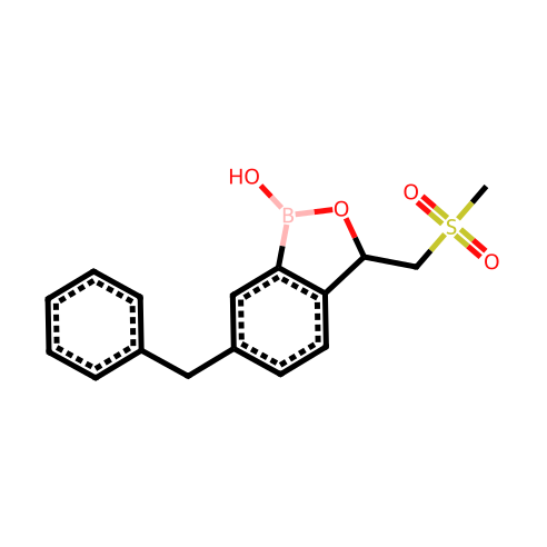 CS(=O)(=O)CC1OB(O)c2cc(Cc3ccccc3)ccc21